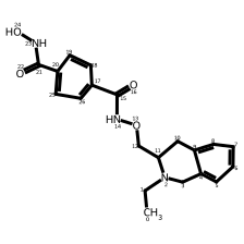 CCN1Cc2ccccc2CC1CONC(=O)c1ccc(C(=O)NO)cc1